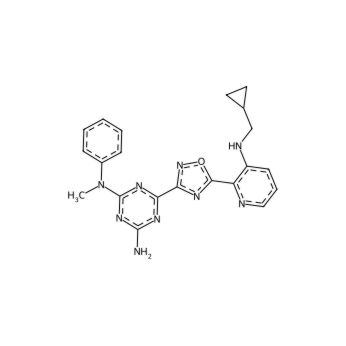 CN(c1ccccc1)c1nc(N)nc(-c2noc(-c3ncccc3NCC3CC3)n2)n1